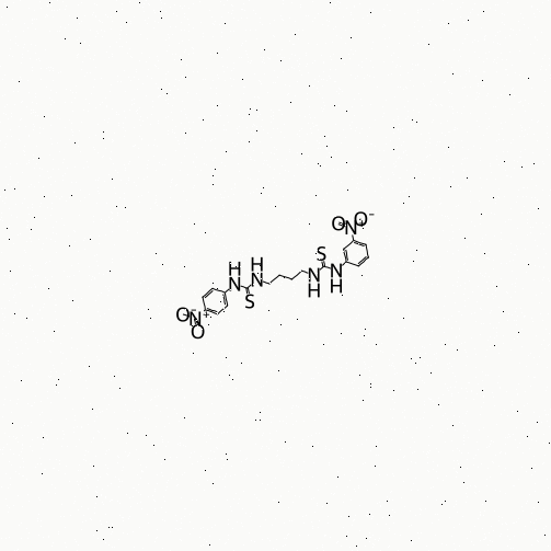 O=[N+]([O-])c1ccc(NC(=S)NCCCCNC(=S)Nc2cccc([N+](=O)[O-])c2)cc1